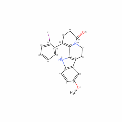 COc1ccc2[nH]c3c(c2c1)CCN1C(=O)CCC(c2ccccc2I)=C31